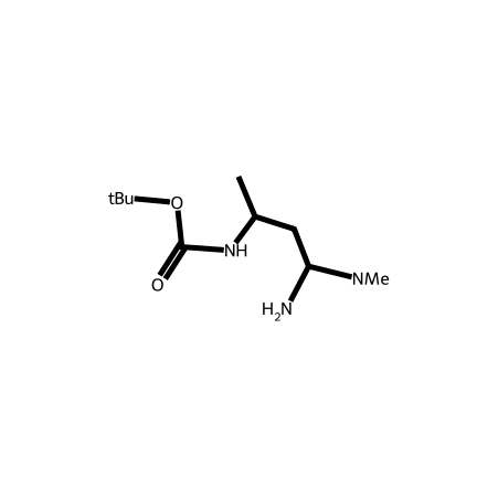 CNC(N)CC(C)NC(=O)OC(C)(C)C